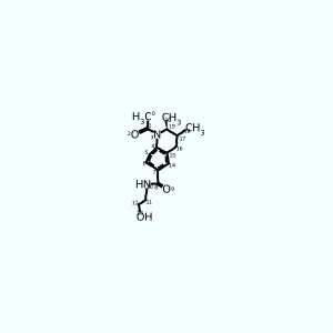 CC(=O)N1c2ccc(C(=O)NCCO)cc2CC(C)[C@@H]1C